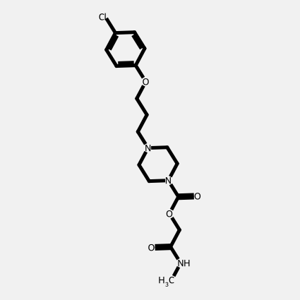 CNC(=O)COC(=O)N1CCN(CCCOc2ccc(Cl)cc2)CC1